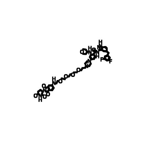 O=C1CCC(N2C(=O)c3ccc(NCCOCCOCCOCCOCCCN4CCN(c5ccc(C(=O)Nc6n[nH]c7ccc(Cc8cc(F)cc(F)c8)cc67)c(NC6CCOCC6)c5)CC4)cc3C2=O)C(=O)N1